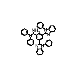 NC(c1cc(-c2nc3ccccc3n2-c2ccccc2)cc(-c2nc3ccccc3n2-c2ccccc2)c1)N(c1ccccc1)c1ccccc1